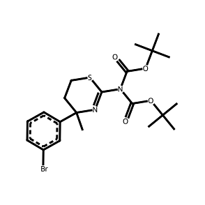 CC(C)(C)OC(=O)N(C(=O)OC(C)(C)C)C1=NC(C)(c2cccc(Br)c2)CCS1